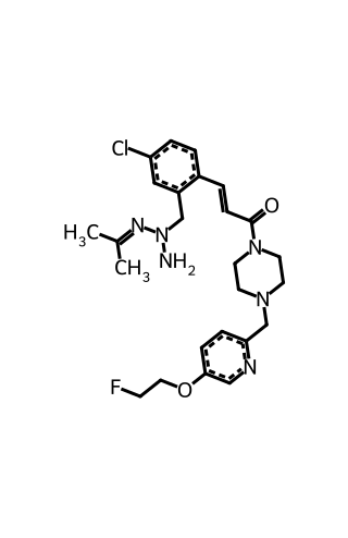 CC(C)=NN(N)Cc1cc(Cl)ccc1/C=C/C(=O)N1CCN(Cc2ccc(OCCF)cn2)CC1